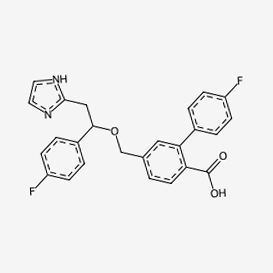 O=C(O)c1ccc(COC(Cc2ncc[nH]2)c2ccc(F)cc2)cc1-c1ccc(F)cc1